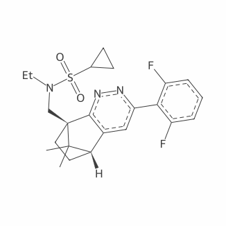 CCN(C[C@@]12CC[C@@H](c3cc(-c4c(F)cccc4F)nnc31)C2(C)C)S(=O)(=O)C1CC1